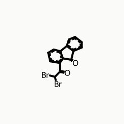 O=C1c2ccccc2-c2cccc(C(=O)C(Br)Br)c21